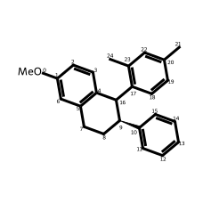 COc1ccc2c(c1)CC[C@H](c1ccccc1)C2c1ccc(C)cc1C